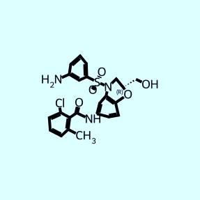 Cc1cccc(Cl)c1C(=O)Nc1ccc2c(c1)N(S(=O)(=O)c1cccc(N)c1)C[C@H](CO)O2